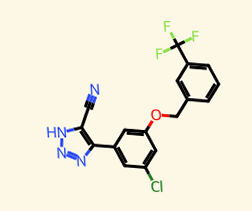 N#Cc1[nH]nnc1-c1cc(Cl)cc(OCc2cccc(C(F)(F)F)c2)c1